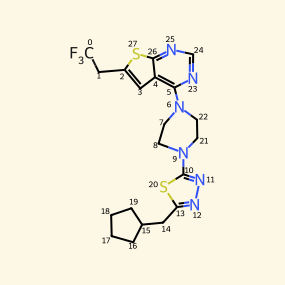 FC(F)(F)Cc1cc2c(N3CCN(c4nnc(CC5CCCC5)s4)CC3)ncnc2s1